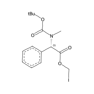 CN(C(=O)OC(C)(C)C)[C@H](C(=O)OCI)c1ccccc1